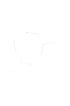 ClC1=CCCC=C(Cl)CC1